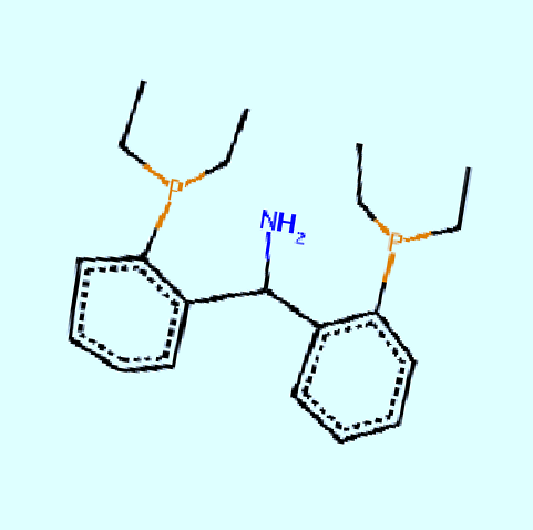 CCP(CC)c1ccccc1C(N)c1ccccc1P(CC)CC